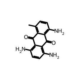 Cc1ccc(N)c2c1C(=O)c1c(N)ccc(N)c1C2=O